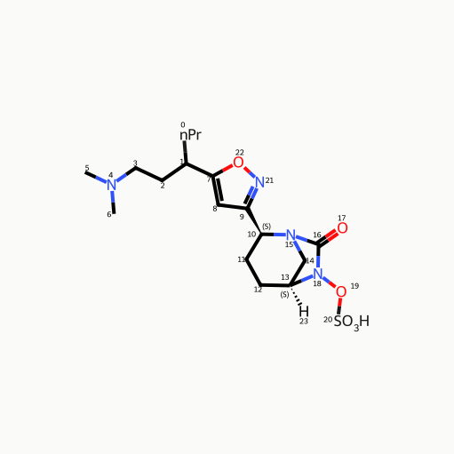 CCCC(CCN(C)C)c1cc([C@@H]2CC[C@H]3CN2C(=O)N3OS(=O)(=O)O)no1